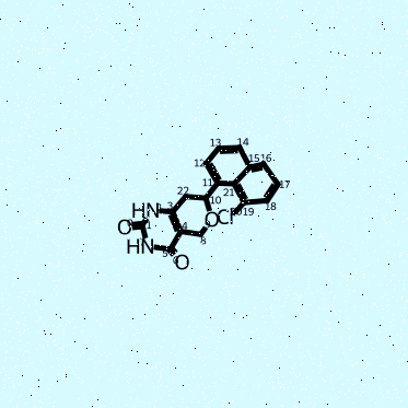 O=c1[nH]c2c(c(=O)[nH]1)COC(c1cccc3cccc(Cl)c13)C2